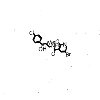 COc1ncc(Br)cc1C(=O)NCC[C@H](O)c1ccc(Cl)cc1